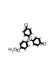 COc1ccc([S+](c2ccc(Cl)cc2)c2ccc(Cl)cc2)cc1